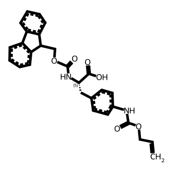 C=CCOC(=O)Nc1ccc(C[C@H](NC(=O)OCC2c3ccccc3-c3ccccc32)C(=O)O)cc1